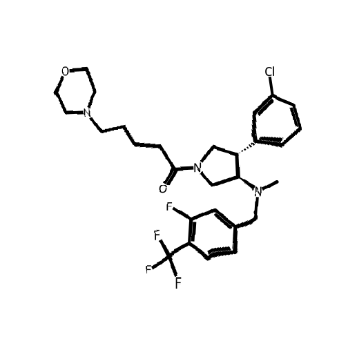 CN(Cc1ccc(C(F)(F)F)c(F)c1)[C@H]1CN(C(=O)CCCCN2CCOCC2)C[C@@H]1c1cccc(Cl)c1